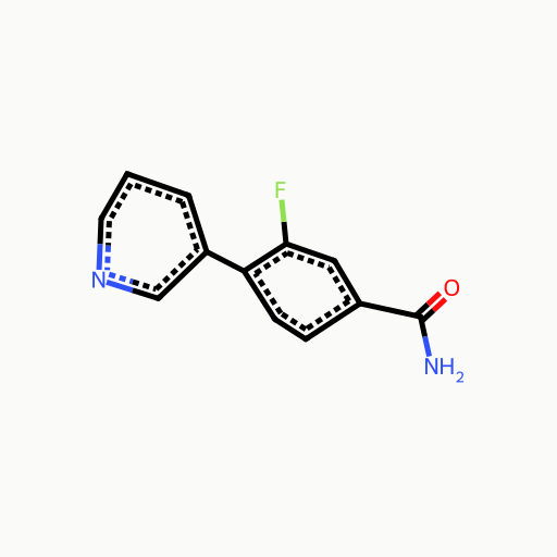 NC(=O)c1ccc(-c2cccnc2)c(F)c1